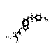 CC(C)C[C@H](NC(=O)Cn1ccc2cc(NS(=O)(=O)c3ccc(OC(F)(F)F)cc3)ccc21)C(=O)O